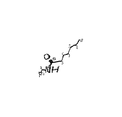 CCCCCCC(=O)NCF